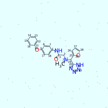 CN(CC(=O)Nc1ccc(Oc2ccccc2)cc1)C(c1nnn[nH]1)c1ccco1